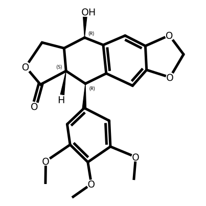 COc1cc([C@@H]2c3cc4c(cc3[C@H](O)C3COC(=O)[C@H]32)OCO4)cc(OC)c1OC